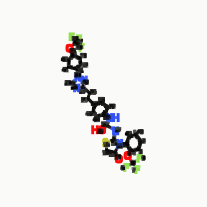 Cc1ccc(OC(F)(F)F)c(N2C(=O)CS/C2=N\C(O)Nc2ccc(CCc3ncn(-c4ccc(OC(F)(F)F)cc4)n3)cc2)c1